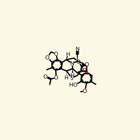 COc1c(C)cc2c(c1O)C1[C@@H]3[C@H]4SCC(=O)C(=O)OC[C@@H](c5c6c(c(C)c(OC(C)=O)c54)OCO6)N3[C@@H](C#N)C(C2)N1C